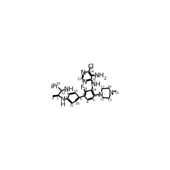 C=C(Nc1ccc(-c2ccc(N3CCN(C)CC3)c(Nc3ncnc(Cl)c3N)c2F)cc1)C(N)C(C)C